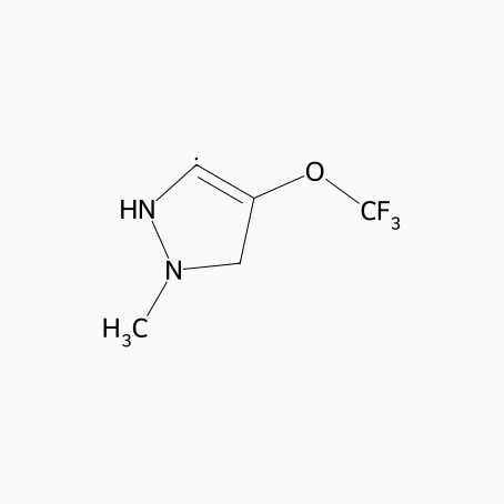 CN1CC(OC(F)(F)F)=[C]N1